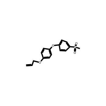 C=CCOc1ccc(Oc2ccc(S(C)(=O)=O)cc2)cc1